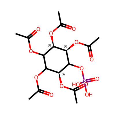 CC(=O)OC1C(OC(C)=O)[C@@H](OC(C)=O)[C@@H](OC(C)=O)C(OP(=O)(O)O)[C@H]1OC(C)=O